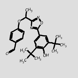 CC(Oc1ccc(C=O)cc1)c1noc(-c2cc(C(C)(C)C)c(O)c(C(C)(C)C)c2)n1